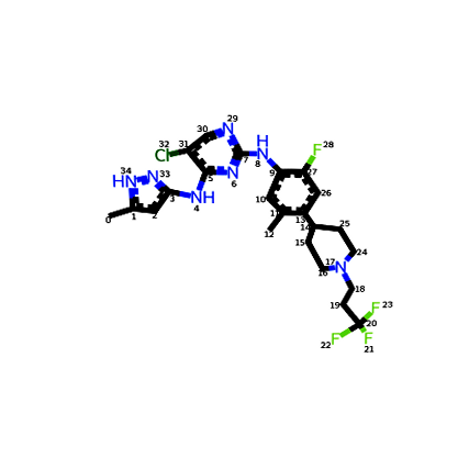 Cc1cc(Nc2nc(Nc3cc(C)c(C4CCN(CCC(F)(F)F)CC4)cc3F)ncc2Cl)n[nH]1